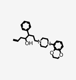 C=CCC(O)C(CCN1CCN(c2cccc3c2OCCO3)CC1)c1ccccc1